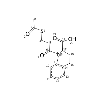 CC(=O)SCCC(=O)N1c2ccccc2CCC1C(=O)O